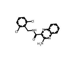 Nc1nc2ccccc2nc1C(=O)NCc1c(Cl)cccc1Cl